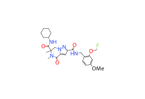 COc1ccc(CNC(=O)c2cc3n(n2)CC(C)(C(=O)NC2CCCCC2)N(C)C3=O)c(OCF)c1